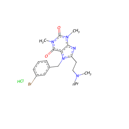 CCCN(C)CCc1nc2c(c(=O)n(C)c(=O)n2C)n1Cc1cccc(Br)c1.Cl